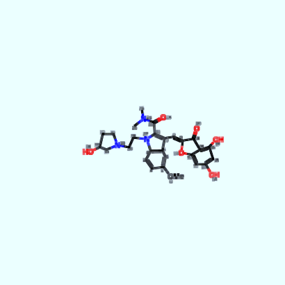 COc1ccc2c(c1)c(/C=C1\Oc3cc(O)cc(O)c3C1=O)c(C(=O)N(C)C)n2CCN1CCC(O)C1